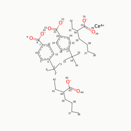 CC(C)(C)c1ccc(C(=O)[O-])cc1.CC(C)(C)c1ccc(C(=O)[O-])cc1.CCCCC(CC)C(=O)[O-].CCCCC(CC)C(=O)[O-].[Ce+4]